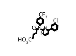 O=C(O)CCCC(=O)N(c1ccc(C(F)(F)F)cc1)c1nccc(-c2cccc(Cl)c2)n1